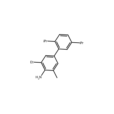 CCc1cc(-c2cc(C(C)C)ccc2C(C)C)cc(C)c1N